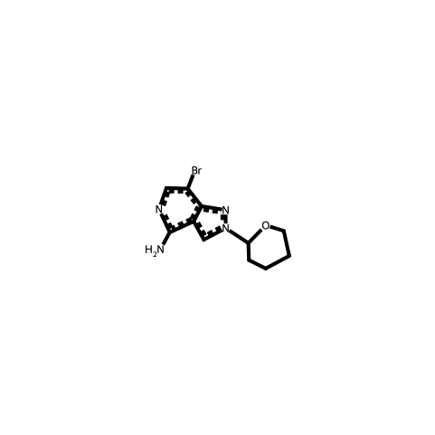 Nc1ncc(Br)c2nn(C3CCCCO3)cc12